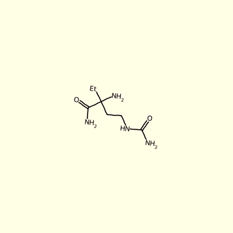 [CH2]CC(N)(CCNC(N)=O)C(N)=O